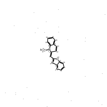 CN1/C(=C/c2nc3ncccc3o2)C=Cc2ccccc21